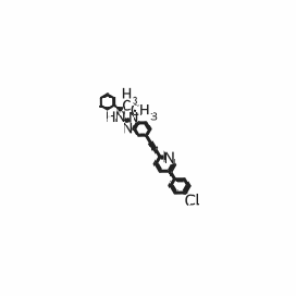 C[C@@H](Nc1nc2cc(C#Cc3ccc(-c4ccc(Cl)cc4)cn3)ccc2n1C)C1CCCCC1